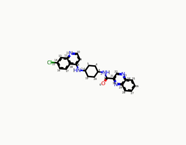 O=C(NC1CCC(Nc2ccnc3cc(Cl)ccc23)CC1)c1cnc2ccccc2n1